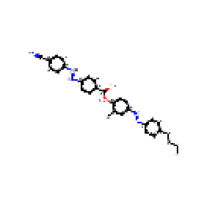 CCCCc1ccc(N=Nc2ccc(OC(=O)c3ccc(N=Nc4ccc(C#N)cc4)cc3)c(C)c2)cc1